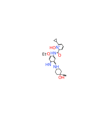 C#C[C@]1(O)CC[C@H](N/C=C2/C=C(NC(=O)c3cccc(C4CC4)[n+]3O)C(OCC)=CC2=N)CC1